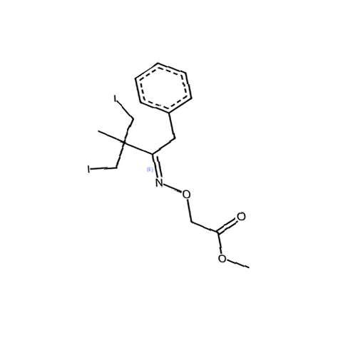 COC(=O)CO/N=C(\Cc1ccccc1)C(C)(CI)CI